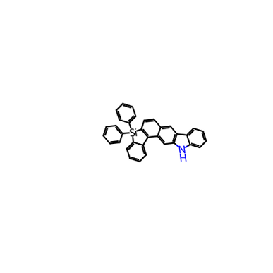 c1ccc([Si]2(c3ccccc3)c3ccccc3-c3c2ccc2cc4c(cc32)[nH]c2ccccc24)cc1